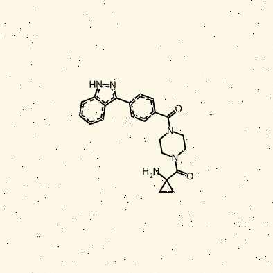 NC1(C(=O)N2CCN(C(=O)c3ccc(-c4n[nH]c5ccccc45)cc3)CC2)CC1